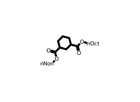 CCCCCCCCCOC(=O)C1CCCC(C(=O)OCCCCCCCC)C1